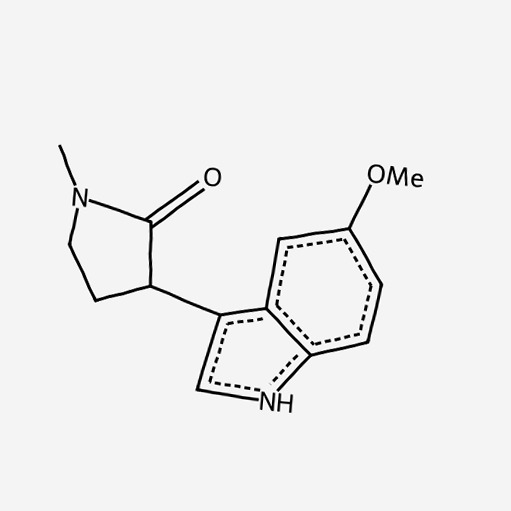 COc1ccc2[nH]cc(C3CCN(C)C3=O)c2c1